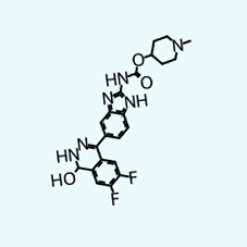 CN1CCC(OC(=O)Nc2nc3cc(C4=NNC(O)c5cc(F)c(F)cc54)ccc3[nH]2)CC1